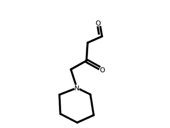 O=CCC(=O)CN1CCCCC1